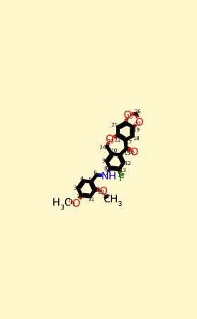 COc1ccc(CNc2cc3c(cc2F)C(=O)c2cc4c(cc2OC3)OCO4)c(OC)c1